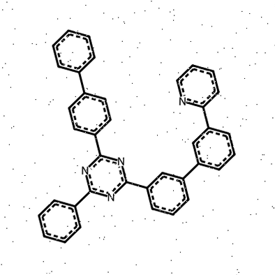 c1ccc(-c2ccc(-c3nc(-c4ccccc4)nc(-c4cccc(-c5cccc(-c6ccccn6)c5)c4)n3)cc2)cc1